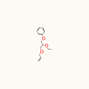 C=CCOCC(COc1ccccc1)OCC